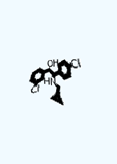 O[C@@H](c1cccc(Cl)c1)C(NCC1CC1)c1ccc(Cl)cc1